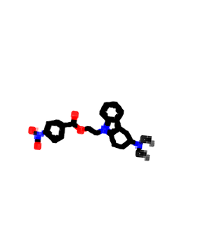 CN(C)C1CCc2c(c3ccccc3n2CCOC(=O)c2ccc([N+](=O)[O-])cc2)C1